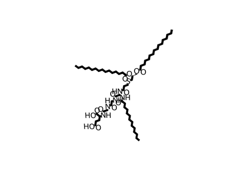 CCCCCCCCCCCCCCCC(=O)OC[C@H](CSCCC(=O)N[C@@H](NC(=O)CCCCCCCCCCCCC)C(=O)NCC(=O)NCC(=O)NC(CCC(=O)O)C(=O)O)OC(=O)CCCCCCCCCCCCCCC